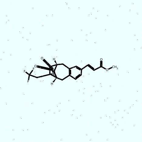 COC(=O)/C=C/c1ccc2c(c1)C[C@H]1CC[C@@H](C2)[C@]12CN(CC(F)(F)F)S(=O)(=O)N2